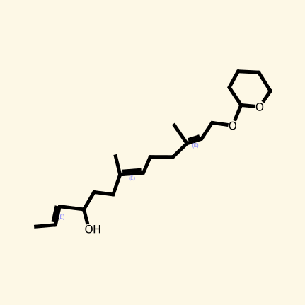 C/C=C/C(O)CC/C(C)=C/CC/C(C)=C/COC1CCCCO1